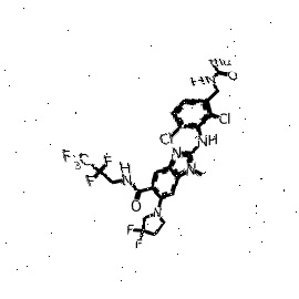 Cn1c(Nc2c(Cl)ccc(CNC(=O)C(C)(C)C)c2Cl)nc2cc(C(=O)NCC(F)(F)C(F)(F)F)c(N3CCC(F)(F)C3)cc21